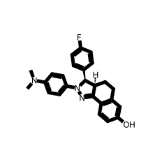 CN(C)c1ccc(N2N=C3c4ccc(O)cc4CC[C@@H]3[C@@H]2c2ccc(F)cc2)cc1